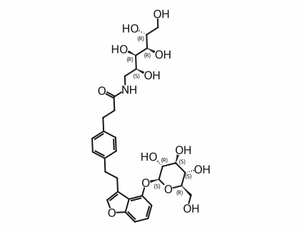 O=C(CCc1ccc(CCc2coc3cccc(O[C@@H]4O[C@H](CO)[C@@H](O)[C@H](O)[C@H]4O)c23)cc1)NC[C@H](O)[C@@H](O)[C@H](O)[C@H](O)CO